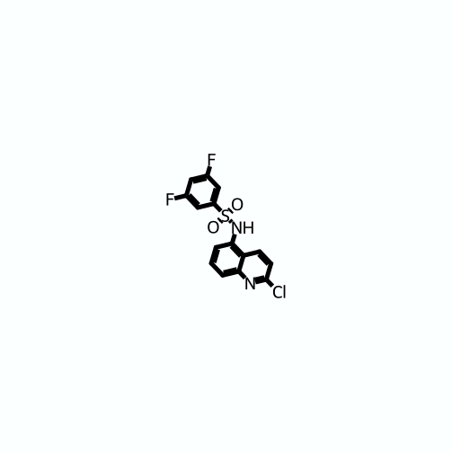 O=S(=O)(Nc1cccc2nc(Cl)ccc12)c1cc(F)cc(F)c1